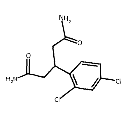 NC(=O)CC(CC(N)=O)c1ccc(Cl)cc1Cl